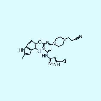 Cc1cc2c(Cl)c(Oc3nc(Nc4cc(C5CC5)[nH]n4)cc(N4CCN(CCC#N)CC4)n3)ccc2[nH]1